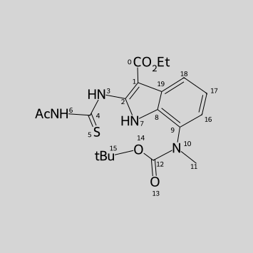 CCOC(=O)c1c(NC(=S)NC(C)=O)[nH]c2c(N(C)C(=O)OC(C)(C)C)cccc12